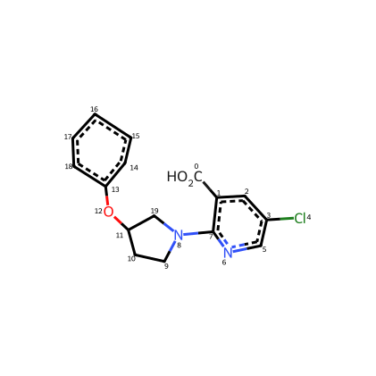 O=C(O)c1cc(Cl)cnc1N1CCC(Oc2ccccc2)C1